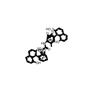 Cc1c2ccc(c1NC(=O)Nc1c3ccc(c1C)N(c1c(S(=O)(=O)O)ccc4cccc(O)c14)S3(=O)=O)S(=O)(=O)N2c1c(S(=O)(=O)O)ccc2cccc(O)c12